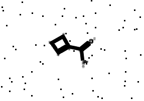 CC(C)C(=O)C1=CCC1